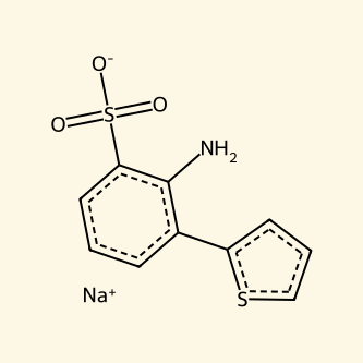 Nc1c(-c2cccs2)cccc1S(=O)(=O)[O-].[Na+]